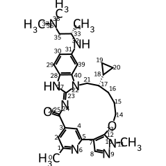 Cc1cc2cc(n1)-c1cnn(C)c1OCCC[C@@H](C1CC1)CN1/C(=N/C2=O)Nc2ccc(N[C@@H](C)CN(C)C)cc21